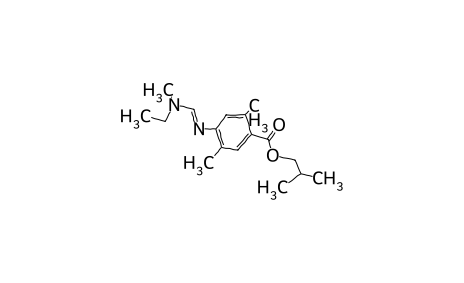 CCN(C)/C=N/c1cc(C)c(C(=O)OCC(C)C)cc1C